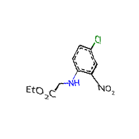 CCOC(=O)CNc1ccc(Cl)cc1[N+](=O)[O-]